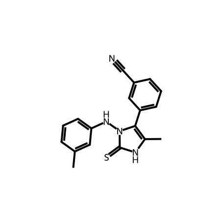 Cc1cccc(Nn2c(-c3cccc(C#N)c3)c(C)[nH]c2=S)c1